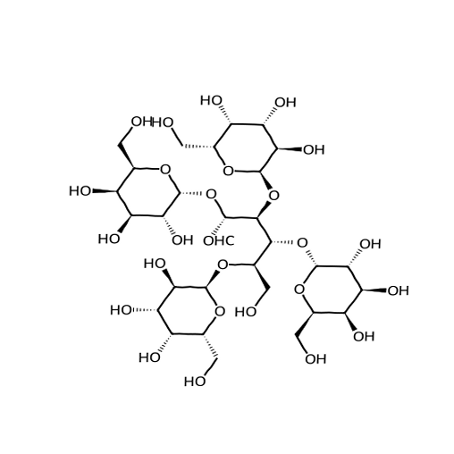 O=C[C@H](O[C@H]1O[C@H](CO)[C@H](O)[C@H](O)[C@H]1O)[C@@H](O[C@H]1O[C@H](CO)[C@H](O)[C@H](O)[C@H]1O)[C@H](O[C@H]1O[C@H](CO)[C@H](O)[C@H](O)[C@H]1O)[C@@H](CO)O[C@H]1O[C@H](CO)[C@H](O)[C@H](O)[C@H]1O